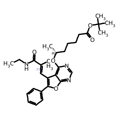 CCNC(=O)/C(C)=C/c1c(-c2ccccc2)oc2ncnc(O[C@H](C)CCCCC(=O)OC(C)(C)C)c12